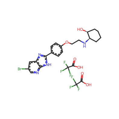 O=C(O)C(F)(F)F.O=C(O)C(F)(F)F.O[C@H]1CCCC[C@H]1NCCOc1ccc(-c2nc3cc(Br)cnc3[nH]2)cc1